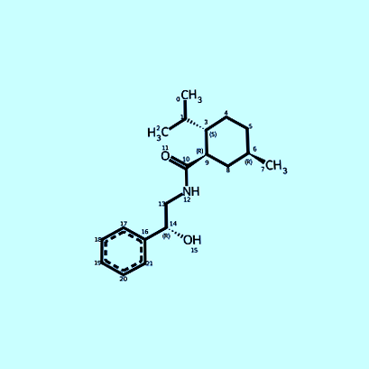 CC(C)[C@@H]1CC[C@@H](C)C[C@H]1C(=O)NC[C@H](O)c1ccccc1